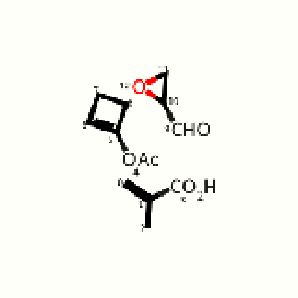 C=C(C)C(=O)O.CC(=O)OC1=CCC1.O=CC1CO1